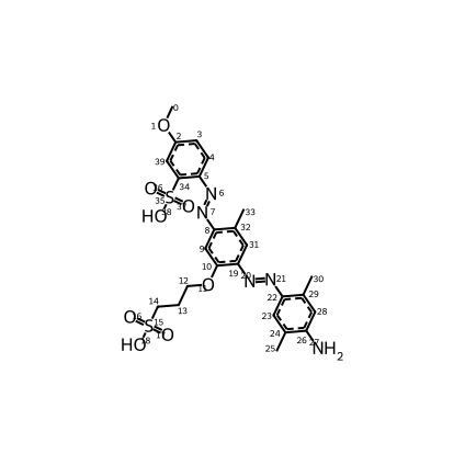 COc1ccc(N=Nc2cc(OCCCS(=O)(=O)O)c(N=Nc3cc(C)c(N)cc3C)cc2C)c(S(=O)(=O)O)c1